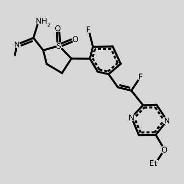 CCOc1cnc(/C(F)=C/c2ccc(F)c(C3CCC(/C(N)=N\C)S3(=O)=O)c2)cn1